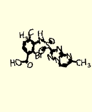 Cc1ccn2nc(S(=O)(=O)Nc3c(C)ccc(C(=O)O)c3Br)nc2n1